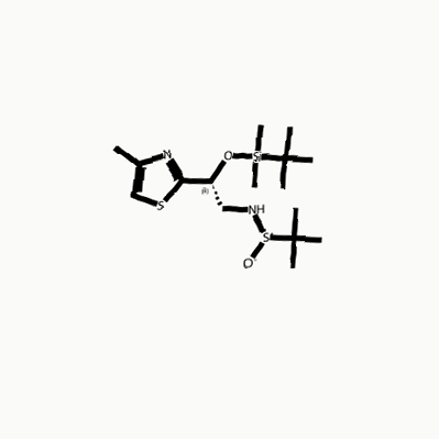 Cc1csc([C@@H](CN[S+]([O-])C(C)(C)C)O[Si](C)(C)C(C)(C)C)n1